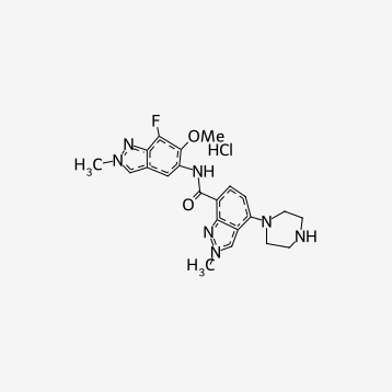 COc1c(NC(=O)c2ccc(N3CCNCC3)c3cn(C)nc23)cc2cn(C)nc2c1F.Cl